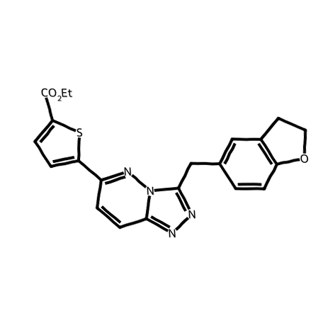 CCOC(=O)c1ccc(-c2ccc3nnc(Cc4ccc5c(c4)CCO5)n3n2)s1